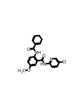 COc1ccc(NC(=O)C2=CC[CH]C=C2)c(C(=O)Nc2ccc(Cl)cn2)c1